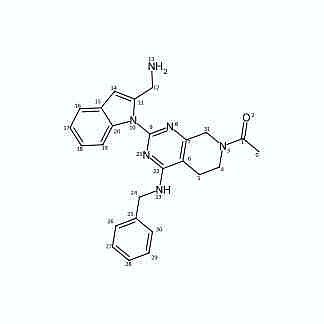 CC(=O)N1CCc2c(nc(-n3c(CN)cc4ccccc43)nc2NCc2ccccc2)C1